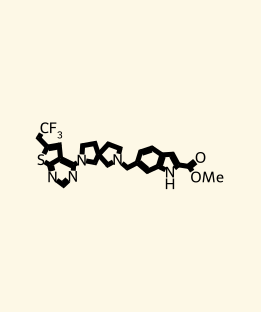 COC(=O)c1cc2ccc(CN3CCC4(CCN(c5ncnc6sc(CC(F)(F)F)cc56)C4)C3)cc2[nH]1